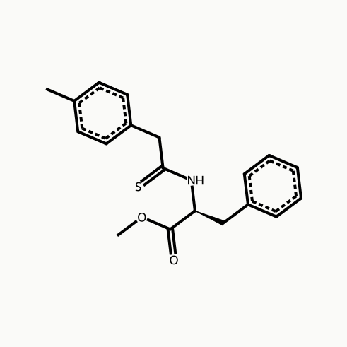 COC(=O)[C@H](Cc1ccccc1)NC(=S)Cc1ccc(C)cc1